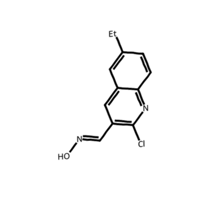 CCc1ccc2nc(Cl)c(C=NO)cc2c1